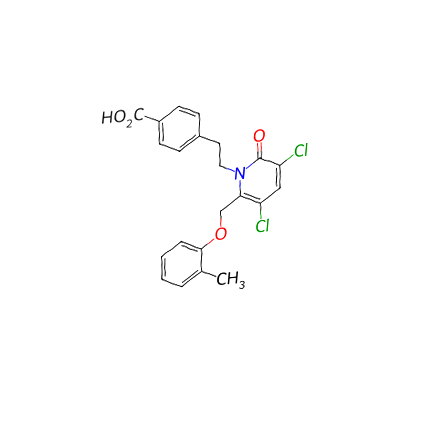 Cc1ccccc1OCc1c(Cl)cc(Cl)c(=O)n1CCc1ccc(C(=O)O)cc1